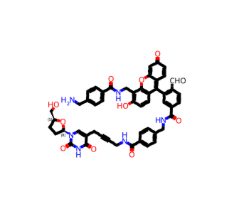 NCc1ccc(C(=O)NCc2c(O)ccc3c(-c4cc(C(=O)NCc5ccc(C(=O)NCC#CCc6cn([C@H]7CC[C@@H](CO)O7)c(=O)[nH]c6=O)cc5)ccc4C=O)c4ccc(=O)cc-4oc23)cc1